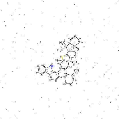 CC1(C)c2c(ccc3c2S[C@H]2C=C(c4cccc5c4[nH]c4ccccc45)C(c4ccccc4C#N)=CC32C)[C@H]2C=CC=CC21